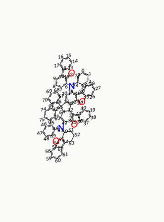 C1=CCCC(N(c2cccc3c2oc2ccccc23)c2cc3c(c4oc5ccccc5c24)C2c4c(oc5ccccc45)C(N(c4ccccc4)C4CCCc5c4oc4ccccc54)=CC2C3(c2ccccc2)c2ccccc2)=C1